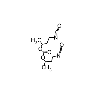 CC(CCN=C=O)OC(=O)OC(C)CCN=C=O